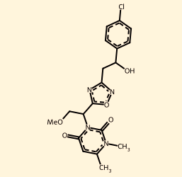 COCC(c1nc(CC(O)c2ccc(Cl)cc2)no1)n1c(=O)cc(C)n(C)c1=O